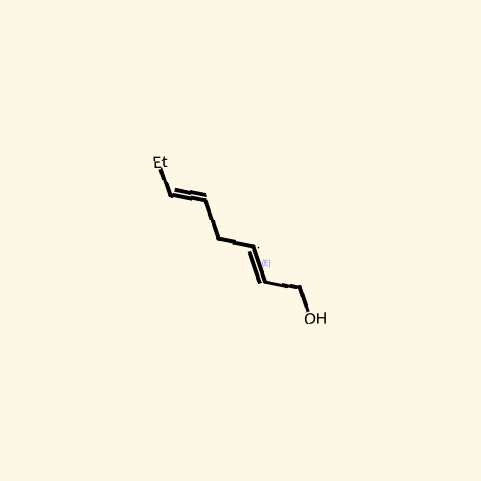 CCC=CC/[C]=C/CO